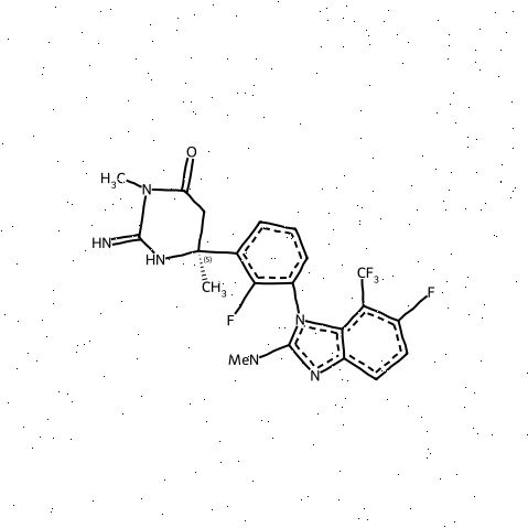 CNc1nc2ccc(F)c(C(F)(F)F)c2n1-c1cccc([C@]2(C)CC(=O)N(C)C(=N)N2)c1F